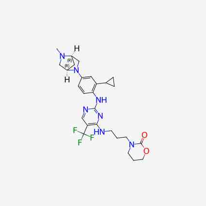 CN1C[C@H]2C[C@@H]1CN2c1ccc(Nc2ncc(C(F)(F)F)c(NCCCN3CCCOC3=O)n2)c(C2CC2)c1